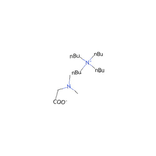 CCCC[N+](CCCC)(CCCC)CCCC.CN(C)CC(=O)[O-]